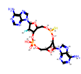 Nc1ncnc2c1ncn2C1OC2COP(S)OC3C(O)C(COP(=O)(O)OC2C1F)OC3n1cnc2c(N)ncnc21